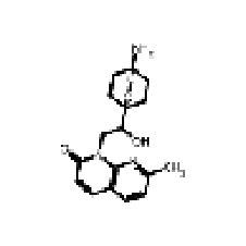 Cc1ccc2ccc(=O)n(CC(O)C34CCC(N)(CC3)CO4)c2n1